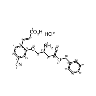 Cl.N#Cc1ccc(/C=C/C(=O)O)c(OCC(N)CC(=O)OCc2ccccc2)c1